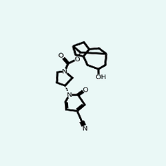 N#Cc1ccn([C@@H]2CCN(C(=O)O[C@H]3C4CC(O)CC5CC3CC5C4)C2)c(=O)c1